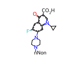 CCCCCCCCCN1CCN(c2cc3c(cc2F)c(=O)c(C(=O)O)cn3C2CC2)CC1